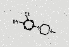 CCc1cc(N2CCN(C)CC2)ccc1C(C)C